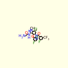 Cn1nc(NC(=O)CN)c2c(Oc3cc(F)ccc3Cl)c(NC(=O)c3cc(F)cc(C(F)(F)F)c3)cc(Cl)c21